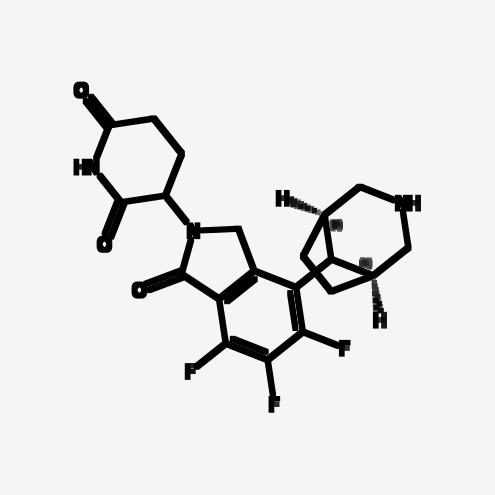 O=C1CCC(N2Cc3c(c(F)c(F)c(F)c3C3[C@@H]4CC[C@H]3CNC4)C2=O)C(=O)N1